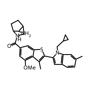 COc1cc(C(=O)N2CC3CCC2[C@@H]3N)cc2sc(-c3cc4ccc(C)cc4n3CC3CC3)c(C)c12